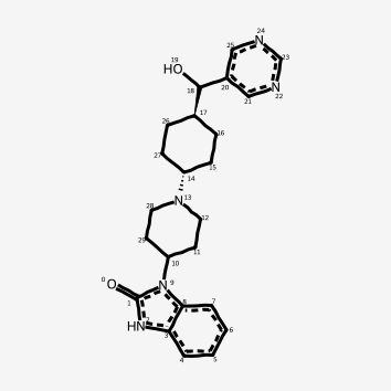 O=c1[nH]c2ccccc2n1C1CCN([C@H]2CC[C@H](C(O)c3cncnc3)CC2)CC1